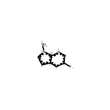 Nn1ccc2cc(F)cnc21